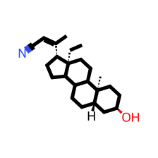 CC[C@]12CCC3C(CC[C@H]4C[C@H](O)CC[C@]34C)C1CC[C@@H]2/C(C)=C\C#N